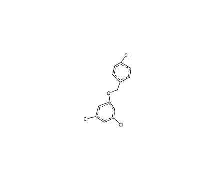 Clc1ccc(COc2cc(Cl)cc(Cl)c2)cc1